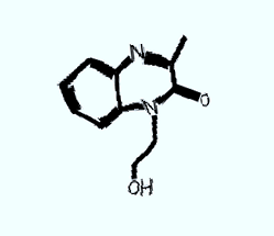 Cc1nc2ccccc2n(CCO)c1=O